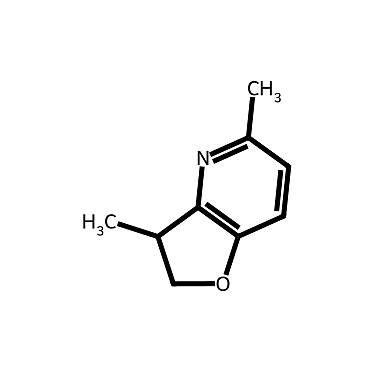 Cc1ccc2c(n1)C(C)CO2